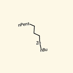 CCCCCCC[CH2][Zn][CH2]CCC